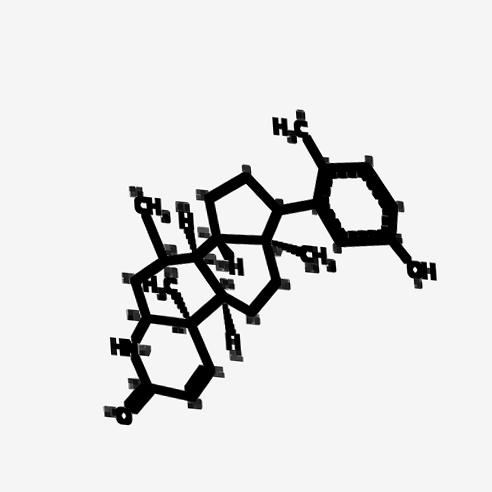 Cc1ccc(O)cc1C1CC[C@H]2[C@@H]3C(C)CC4NC(=O)C=C[C@]4(C)[C@@H]3CC[C@]12C